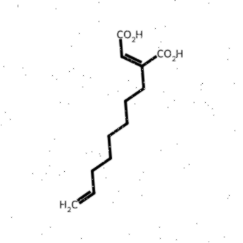 C=CCCCCCC/C(=C/C(=O)O)C(=O)O